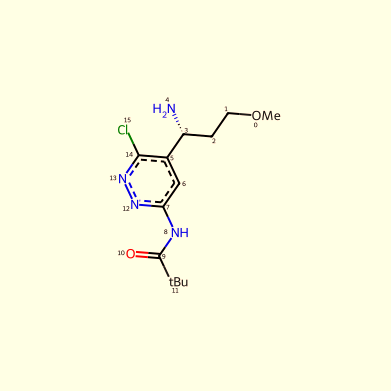 COCC[C@@H](N)c1cc(NC(=O)C(C)(C)C)nnc1Cl